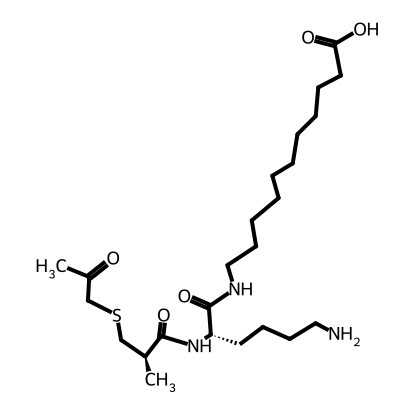 CC(=O)CSC[C@H](C)C(=O)N[C@@H](CCCCN)C(=O)NCCCCCCCCCCC(=O)O